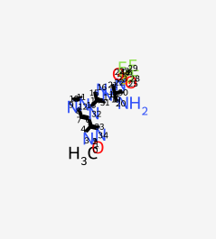 COc1ncc(-c2cc3nccn3c(-c3cnn(C4(CN)CN(S(=O)(=O)C(F)(F)F)C4)c3)n2)cn1